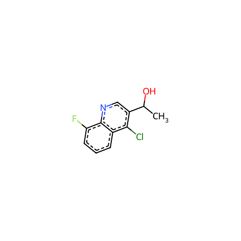 CC(O)c1cnc2c(F)cccc2c1Cl